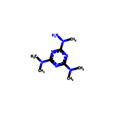 CN(C)c1nc(N(C)C)nc(N(C)N)n1